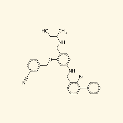 CC(CO)NCc1ccc(NCc2cccc(-c3ccccc3)c2Br)cc1OCc1cccc(C#N)c1